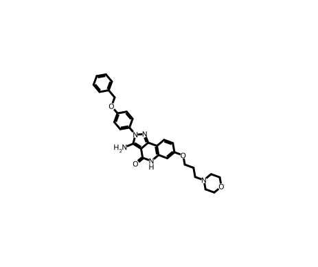 Nc1c2c(=O)[nH]c3cc(OCCCN4CCOCC4)ccc3c2nn1-c1ccc(OCc2ccccc2)cc1